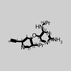 C#Cc1cc(Oc2cnc(N)nc2NC(C)C)c(C(C)C)cn1